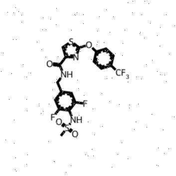 CS(=O)(=O)Nc1c(F)cc(CNC(=O)c2csc(Oc3ccc(C(F)(F)F)cc3)n2)cc1F